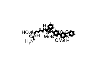 COc1cc(-c2ccc(Nc3ccccc3C(=O)NCCCCC(NC(=O)CN)C(=O)O)c(OC)c2)ccc1Nc1ccccc1C(=O)O